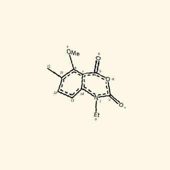 CCn1c(=O)oc(=O)c2c(OC)c(C)ccc21